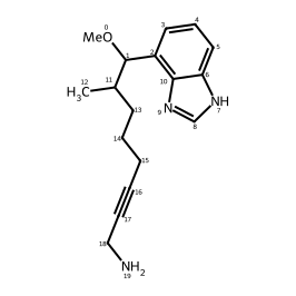 COC(c1cccc2[nH]cnc12)C(C)CCCC#CCN